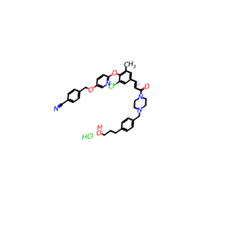 Cc1cc(/C=C/C(=O)N2CCN(Cc3ccc(CCCO)cc3)CC2)cc(Cl)c1Oc1ccc(OCc2ccc(C#N)cc2)cn1.Cl